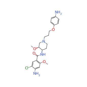 COc1cc(N)c(Cl)cc1C(=O)N[C@@H]1CCN(CCCOc2ccc(N)cc2)C[C@@H]1OC